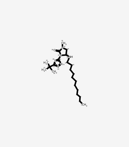 CCCCCCCCCCCCNC1CN(C)C(=O)N1c1nnc(C(C)(C)C)s1